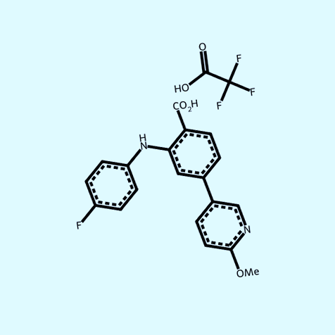 COc1ccc(-c2ccc(C(=O)O)c(Nc3ccc(F)cc3)c2)cn1.O=C(O)C(F)(F)F